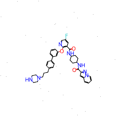 O=C(NC1CCC(NC(=O)c2cc(F)cnc2Oc2cccc(-c3ccc(CCCN4CCNCC4)cc3)c2)CC1)c1cc2ccccn2n1